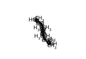 Cc1cc(CCC(=O)OCC(C)(C)C2OCC3(CO2)COC(C(C)(C)COC(=O)CCc2cc(C)c(O)cc2C(C)(C)C)OC3)c(C(C)(C)C)cc1O